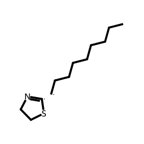 [CH2]CCCCCCCC.[C]1=NCCS1